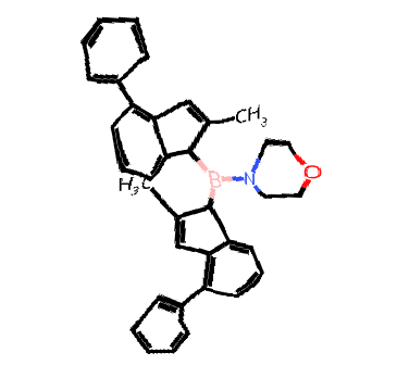 CC1=Cc2c(-c3ccccc3)cccc2C1B(C1C(C)=Cc2c(-c3ccccc3)cccc21)N1CCOCC1